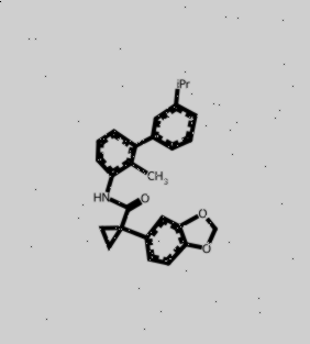 Cc1c(NC(=O)C2(c3ccc4c(c3)OCO4)CC2)cccc1-c1cccc(C(C)C)c1